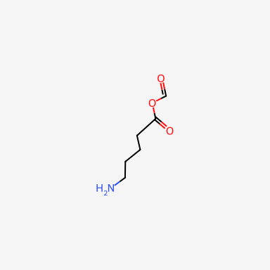 NCCCCC(=O)OC=O